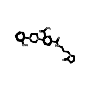 COc1ccccc1N1CCN(c2ccc(C(=O)NCCCN3CCCC3=O)cc2C(N)=O)CC1